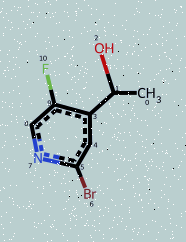 CC(O)c1cc(Br)ncc1F